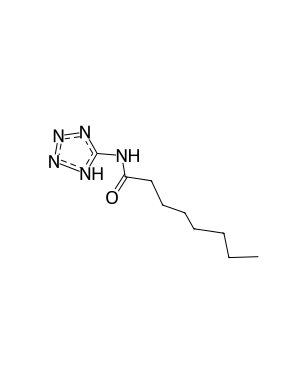 CCCCCCCC(=O)Nc1nnn[nH]1